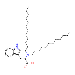 CCCCCCCCCCCCN(CCCCCCCCCCCC)C(Cc1c[nH]c2ccccc12)C(=O)O